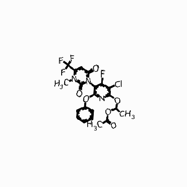 CC(=O)OC(C)Oc1nc(Oc2ccccc2)c(-n2c(=O)cc(C(F)(F)F)n(C)c2=O)c(F)c1Cl